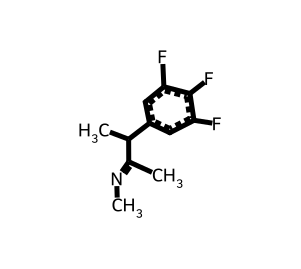 C/N=C(\C)C(C)c1cc(F)c(F)c(F)c1